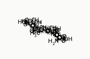 C=C(N=Nc1c(S(=O)(=O)O)cc(/C=C/S(=O)(=O)O)c(C(=C)C)c1O)/C(C)=C\C(=C)c1ccc(N=Nc2cc3c(N)cc(S(=O)(=O)O)cc3cc2S(=O)(=O)O)c(C)c1